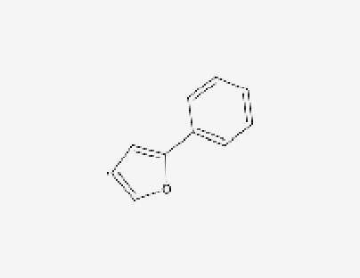 [c]1coc(-c2ccccc2)c1